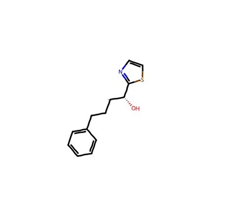 O[C@H]([CH]CCc1ccccc1)c1nccs1